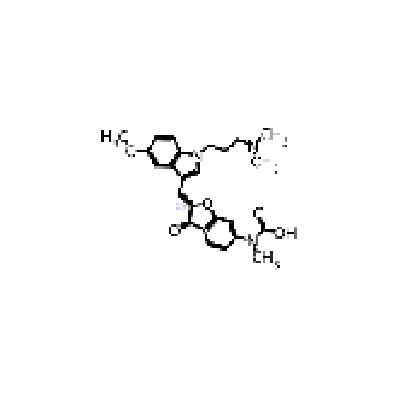 COc1ccc2c(c1)c(/C=C1\Oc3cc(N(C)C(=O)O)ccc3C1=O)cn2CCCN(C)C